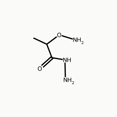 CC(ON)C(=O)NN